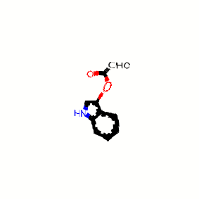 O=CC(=O)Oc1c[nH]c2ccccc12